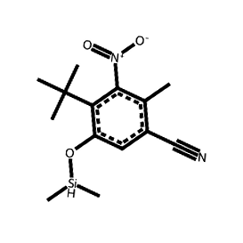 Cc1c(C#N)cc(O[SiH](C)C)c(C(C)(C)C)c1[N+](=O)[O-]